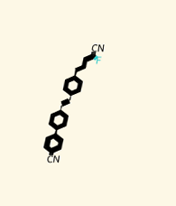 N#CC(F)=CCC[C@H]1CC[C@H](C=C[C@H]2CC[C@H](c3ccc(C#N)cc3)CC2)CC1